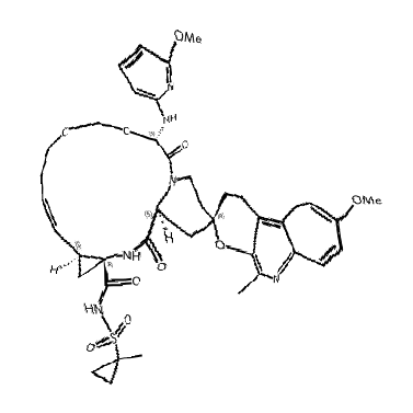 COc1ccc2nc(C)c3c(c2c1)CC[C@]1(C[C@H]2C(=O)N[C@]4(C(=O)NS(=O)(=O)C5(C)CC5)C[C@H]4C=CCCCCC[C@H](Nc4cccc(OC)n4)C(=O)N2C1)O3